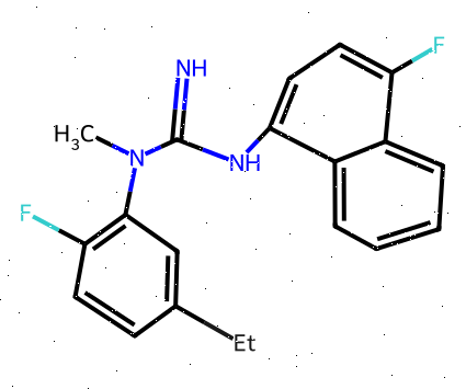 CCc1ccc(F)c(N(C)C(=N)Nc2ccc(F)c3ccccc23)c1